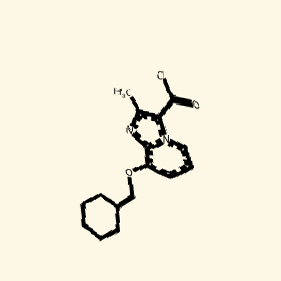 Cc1nc2c(OCC3CCCCC3)cccn2c1C(=O)Cl